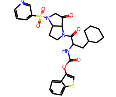 O=C(NC(CC1CCCCC1)C(=O)N1CCC2C1C(=O)CN2S(=O)(=O)c1cccnc1)Oc1csc2ccccc12